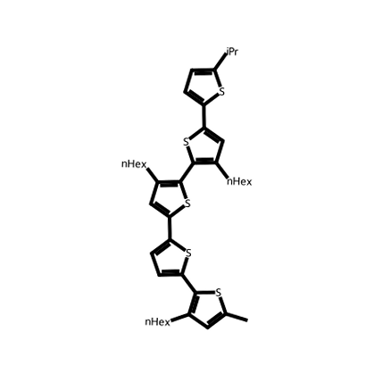 CCCCCCc1cc(C)sc1-c1ccc(-c2cc(CCCCCC)c(-c3sc(-c4ccc(C(C)C)s4)cc3CCCCCC)s2)s1